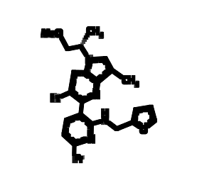 CCc1cc2c(nc1-c1ccc(C(C)C)nc1NCc1ccco1)c(C)cn2[C@@H](C)COC